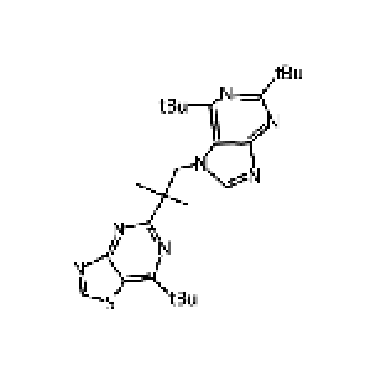 CC(C)(C)c1nc(C(C)(C)C)c2c(ncn2CC(C)(C)c2nc(C(C)(C)C)c3scnc3n2)n1